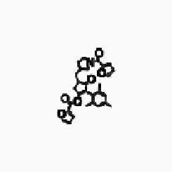 Cc1cc(C)c(C2=C(OC(=O)c3ccco3)CC(CC3CCN(C(=O)c4ccco4)C3)C2=O)c(C)c1